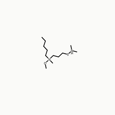 CCCCC[Si](C)(CCCS[SiH](C)C)OC